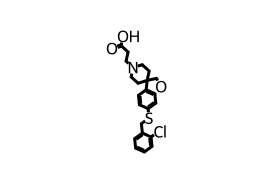 O=C(O)CCN1CCC2(CC1)COc1cc(SCc3ccccc3Cl)ccc12